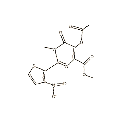 COC(=O)c1nc(-c2sccc2[N+](=O)[O-])n(C)c(=O)c1OC(C)=O